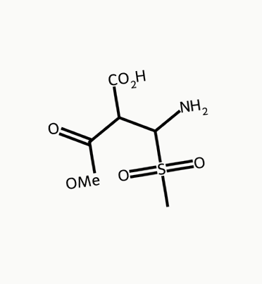 COC(=O)C(C(=O)O)C(N)S(C)(=O)=O